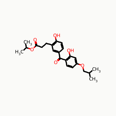 CC(C)COc1ccc(C(=O)c2ccc(O)c(CCC(=O)OC(C)C)c2)c(O)c1